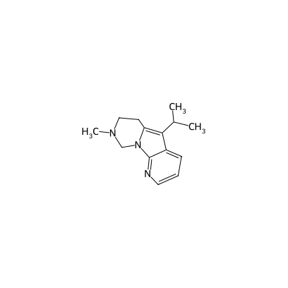 CC(C)c1c2n(c3ncccc13)CN(C)CC2